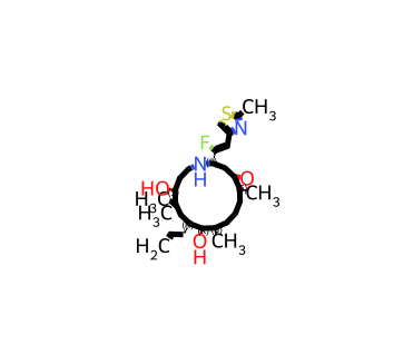 C=CC[C@@H]1CC(C)(C)[C@@H](O)CCN[C@H](C(F)=Cc2csc(C)n2)CC2O[C@@]2(C)CCC[C@H](C)[C@H]1O